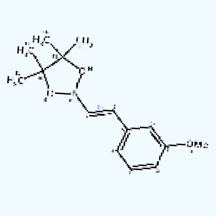 COc1cccc(/C=C/B2OC(C)(C)C(C)(C)O2)c1